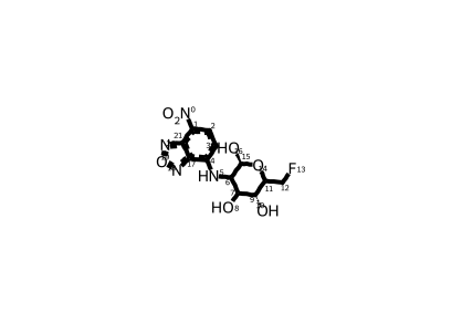 O=[N+]([O-])c1ccc(NC2C(O)[C@@H](O)C(CF)O[C@@H]2O)c2nonc12